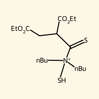 CCCC[N+](S)(CCCC)C(=S)C(CC(=O)OCC)C(=O)OCC